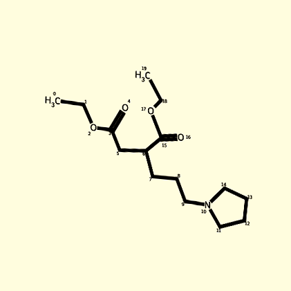 CCOC(=O)CC(CCCN1CCCC1)C(=O)OCC